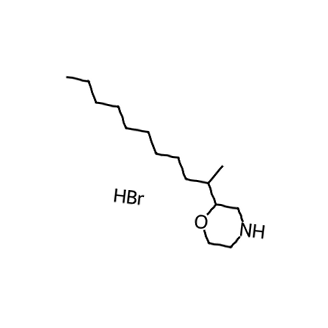 Br.CCCCCCCCCC(C)C1CNCCO1